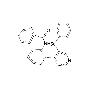 O=C(Nc1ccccc1-c1ccncc1[Se]c1ccccc1)c1ccccn1